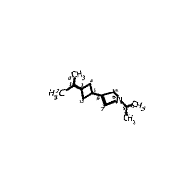 CC(C)C1CC(C2CN(C(C)C)C2)C1